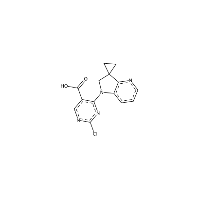 O=C(O)c1cnc(Cl)nc1N1CC2(CC2)c2ncccc21